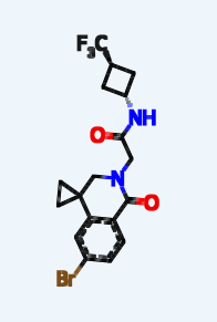 O=C(CN1CC2(CC2)c2cc(Br)ccc2C1=O)N[C@H]1C[C@H](C(F)(F)F)C1